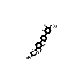 CCCCc1ccc(-c2ccc(-c3ccc(C4OCC(CCC)CO4)c(F)c3F)cc2)c(F)c1F